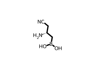 N#CC[C@@H](N)CB(O)O